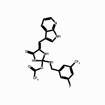 O=C1NC(NCc2cc(F)cc(C(F)(F)F)c2)(OC(=O)C(F)(F)F)NC1=Cc1c[nH]c2ncccc12